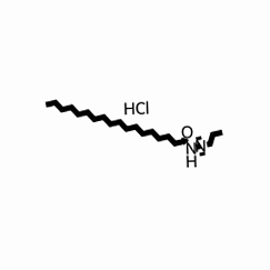 CCCCCCCCCCCCCCCCCC(=O)N[N+](C)(C)CCC.Cl